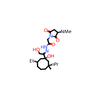 CCCC1(C)CCCC(CC)CC(O)(/C(CO)=N/NC(=O)CN2C(=O)CC(NC)C2=O)C1